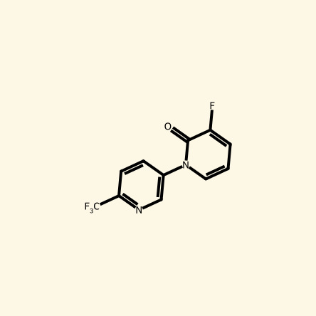 O=c1c(F)cccn1-c1ccc(C(F)(F)F)nc1